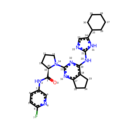 O=C(Nc1ccc(F)nc1)[C@H]1CCCN1c1nc2c(c(Nc3ncc(C4CCCCC4)[nH]3)n1)CCC2